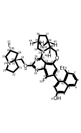 CCc1cccc2cc(O)cc(-c3cc4c5c(nc(OC[C@@]67CCCN6C[C@H](F)C7)nc5c3F)N3C[C@@H]5CC[C@@H](N5)[C@@H]3CO4)c12